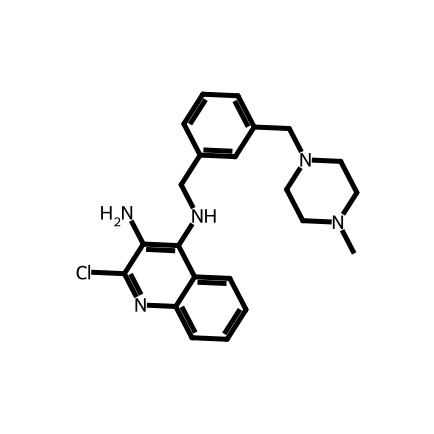 CN1CCN(Cc2cccc(CNc3c(N)c(Cl)nc4ccccc34)c2)CC1